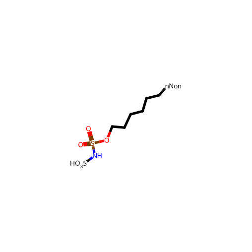 CCCCCCCCCCCCCCCOS(=O)(=O)NS(=O)(=O)O